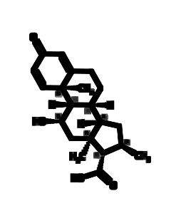 C[C@@H]1C[C@H]2[C@@H]3CCC4=CC(=O)C=C[C@]4(C)[C@H]3[C@@H](O)C[C@]2(C)[C@H]1C(=O)O